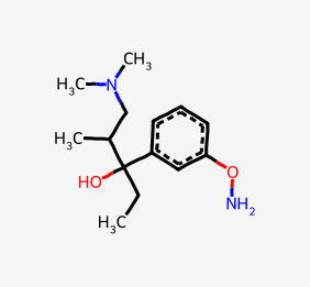 CCC(O)(c1cccc(ON)c1)C(C)CN(C)C